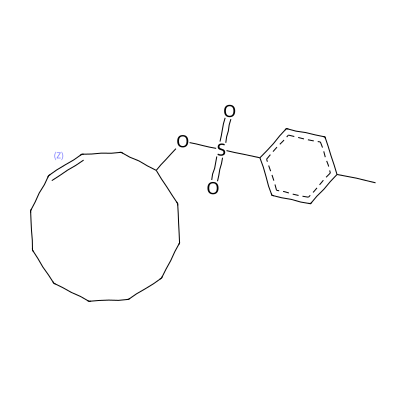 Cc1ccc(S(=O)(=O)OC2C/C=C\CCCCCCCC2)cc1